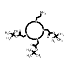 CC(C)(C)OC(=O)CN1CCCCN(CCN)CCN(CC(=O)OC(C)(C)C)CCN(CC(=O)OC(C)(C)C)CC1